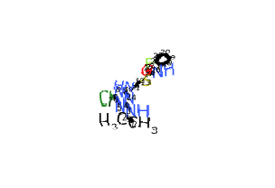 CC(C)Nc1nc(Cl)nc(NCCSC(=O)Nc2ccccc2F)n1